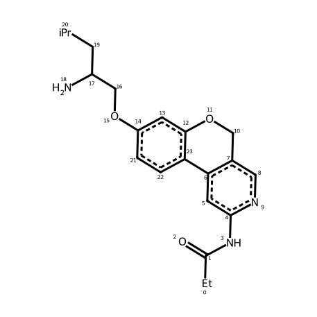 CCC(=O)Nc1cc2c(cn1)COc1cc(OCC(N)CC(C)C)ccc1-2